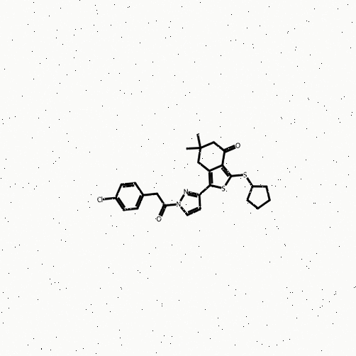 CC1(C)CC(=O)c2c(SC3CCCC3)sc(-c3ccn(C(=O)Cc4ccc(Cl)cc4)n3)c2C1